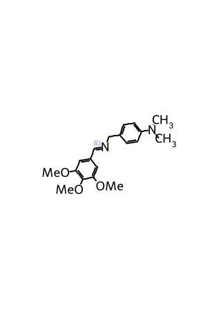 COc1cc(/C=N/Cc2ccc(N(C)C)cc2)cc(OC)c1OC